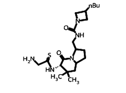 CCCCC1CN(C(=O)NCC2CCC3CC(C)(C)[C@H](NC(=S)CN)C(=O)N23)C1